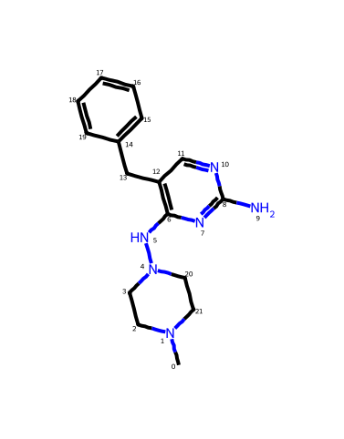 CN1CCN(Nc2nc(N)ncc2Cc2ccccc2)CC1